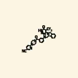 N#Cc1ccc(N2CCN(C(=O)c3cccc(NCC4c5ccccc5CN4c4cn[nH]c(=O)c4C(F)(F)F)c3)CC2)nc1